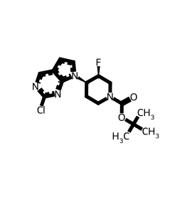 CC(C)(C)OC(=O)N1CC[C@@H](n2ccc3cnc(Cl)nc32)[C@@H](F)C1